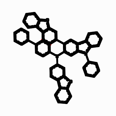 c1ccc(-c2ccc(N(c3ccc4c(c3)oc3ccccc34)c3cc4c(cc3-c3ccc5c(c3)oc3ccccc35)c3ccccc3n4-c3ccccc3)cc2)cc1